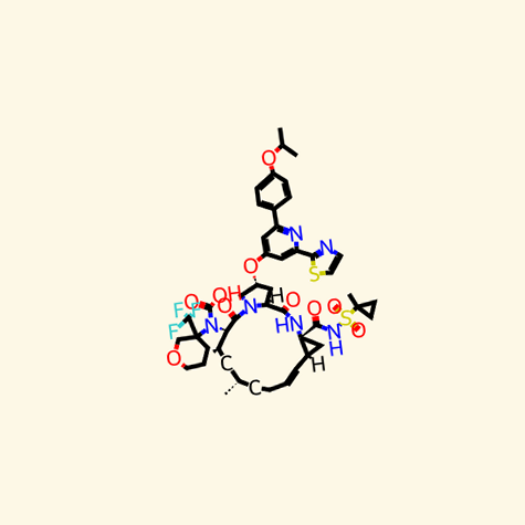 CC(C)Oc1ccc(-c2cc(O[C@@H]3C[C@H]4C(=O)N[C@]5(C(=O)NS(=O)(=O)C6(C)CC6)C[C@H]5C=CCC[C@H](C)C[C@@H](C)[C@H](N(C(=O)O)C5(C(F)(F)F)CCCOC5)C(=O)N4C3)cc(-c3nccs3)n2)cc1